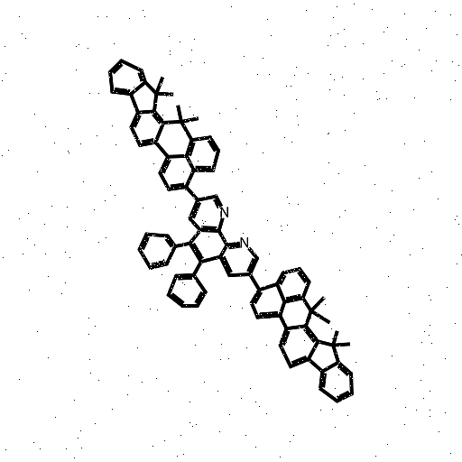 CC1(C)c2ccccc2-c2ccc3c(c21)C(C)(C)c1cccc2c(-c4cnc5c(c4)c(-c4ccccc4)c(-c4ccccc4)c4cc(-c6ccc7c8c(cccc68)C(C)(C)c6c-7ccc7c6C(C)(C)c6ccccc6-7)cnc45)ccc-3c12